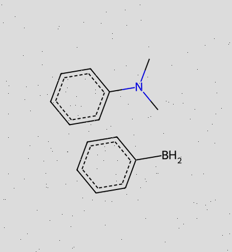 Bc1ccccc1.CN(C)c1ccccc1